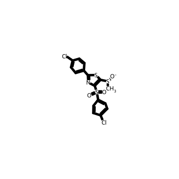 C[S+]([O-])c1sc(-c2ccc(Cl)cc2)nc1S(=O)(=O)c1ccc(Cl)cc1